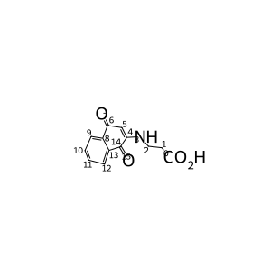 O=C(O)CCNC1=CC(=O)c2ccccc2C1=O